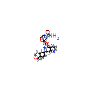 CC1(C)OCCc2cc(-c3cc4nccnc4c(OC[C@@H]4CN(C(N)=O)CCO4)n3)ccc21